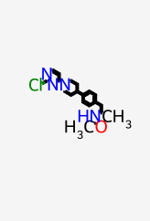 CC(=O)NC(C)Cc1ccc(C2CCN(c3ccnc(Cl)n3)CC2)cc1